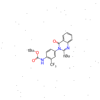 CCCCc1nc2ccccc2c(=O)n1-c1ccc(NC(=O)OC(C)(C)C)c(C(F)(F)F)c1